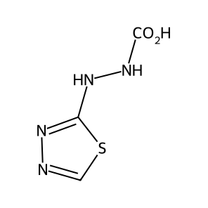 O=C(O)NNc1nncs1